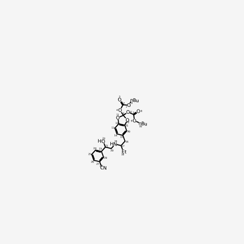 CCCCOC(=O)OC1(OC(=O)OCCCC)Oc2ccc(CC(CC)NCC(O)c3cccc(C#N)c3)cc2O1